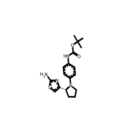 CC(C)(C)OC(=O)Nc1ccc(N2CCC[C@@H]2c2csc(N)n2)cc1